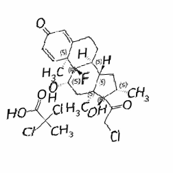 CC(Cl)(Cl)C(=O)O.C[C@H]1C[C@H]2[C@@H]3CCC4=CC(=O)C=C[C@]4(C)[C@@]3(F)[C@@H](O)C[C@]2(C)[C@@]1(O)C(=O)CCl